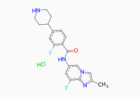 Cc1cn2cc(NC(=O)c3ccc(C4CCNCC4)cc3F)cc(F)c2n1.Cl